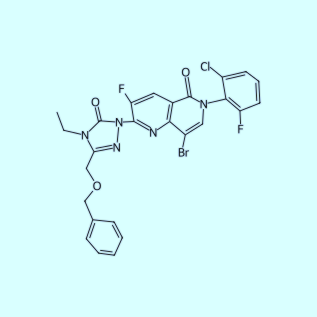 CCn1c(COCc2ccccc2)nn(-c2nc3c(Br)cn(-c4c(F)cccc4Cl)c(=O)c3cc2F)c1=O